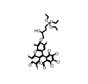 CCO[Si](CCC(O)COc1c(I)cc2c(c1I)O/C(=C\I)C(/C=C(/I)C=O)=C2c1c(Cl)c(Cl)c(Cl)c(Cl)c1C(=O)O)(OCC)OCC